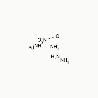 N.N.N.N.O=[N+]([O-])[O-].[Pd]